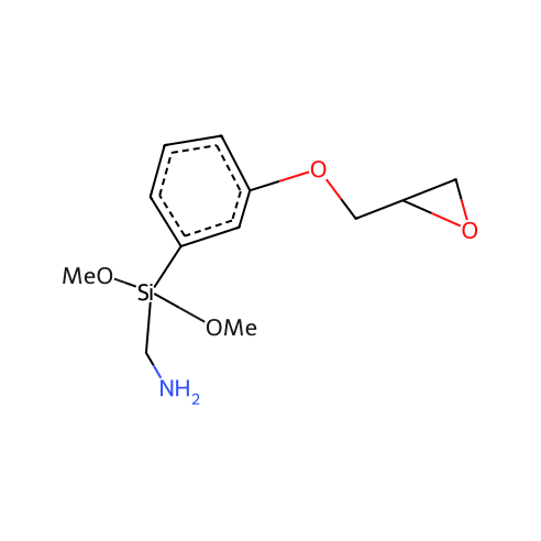 CO[Si](CN)(OC)c1cccc(OCC2CO2)c1